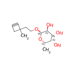 C[C@@H]1O[C@@H](OCCC2(C)C#CC2)[C@@H](O)[C@H](O)[C@@H]1O